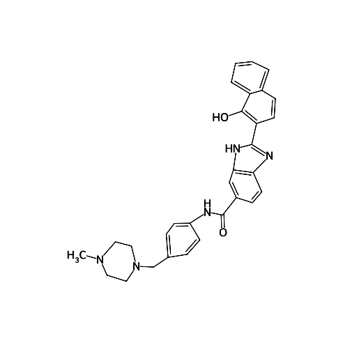 CN1CCN(Cc2ccc(NC(=O)c3ccc4nc(-c5ccc6ccccc6c5O)[nH]c4c3)cc2)CC1